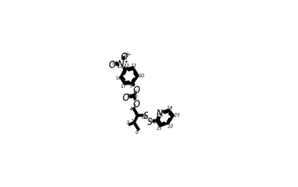 CC(C)C(COC(=O)Oc1ccc([N+](=O)[O-])cc1)SSc1ccccn1